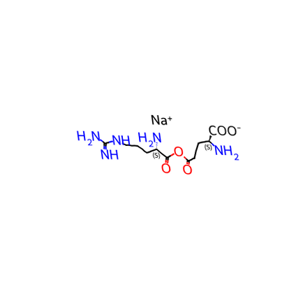 N=C(N)NCCC[C@H](N)C(=O)OC(=O)CC[C@H](N)C(=O)[O-].[Na+]